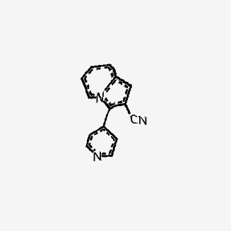 N#Cc1cc2ccccn2c1-c1ccncc1